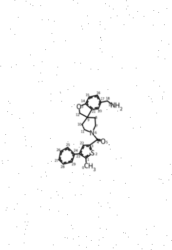 Cc1sc(C(=O)N2CCC3(CC2)COc2ccc(CN)cc23)cc1-c1ccccc1